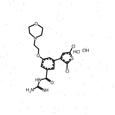 Cl.Cl.N=C(N)NC(=O)c1cc(OCCN2CCOCC2)cc(-c2cc(Cl)sc2Cl)c1